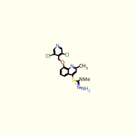 CN/C(=N\N)Sc1cc(C)nc2c(OCc3c(Cl)cncc3Cl)cccc12